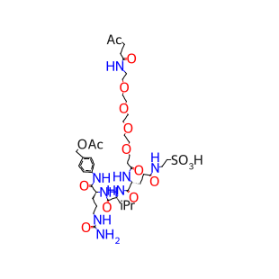 CC(=O)CCC(=O)NCCOCCOCCOCCOCCC(=O)N[C@H](CCC(=O)NCCS(=O)(=O)O)C(=O)N[C@H](C(=O)N[C@@H](CCCNC(N)=O)C(=O)Nc1ccc(COC(C)=O)cc1)C(C)C